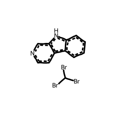 BrC(Br)Br.c1ccc2c(c1)[nH]c1cnccc12